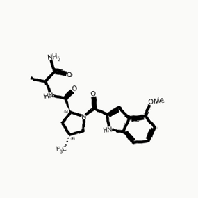 COc1cccc2[nH]c(C(=O)N3C[C@H](C(F)(F)F)C[C@H]3C(=O)NC(C)C(N)=O)cc12